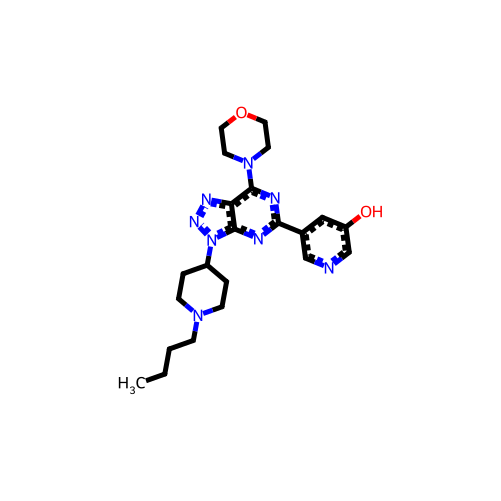 CCCCN1CCC(n2nnc3c(N4CCOCC4)nc(-c4cncc(O)c4)nc32)CC1